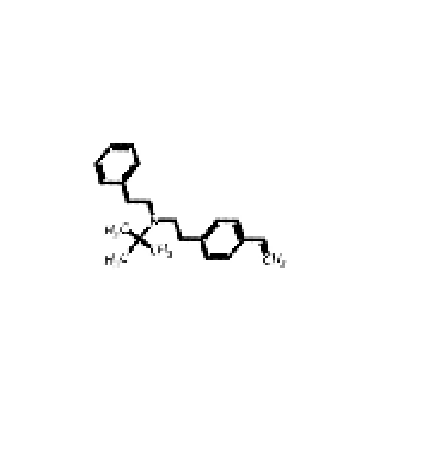 C=Cc1ccc(CCN(CCc2ccccc2)C(C)(C)C)cc1